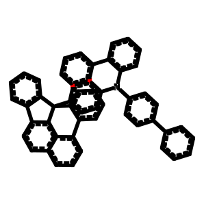 c1ccc(-c2ccc(N(c3ccc(C45c6ccccc6-c6ccc7cccc(c7c64)-c4ccccc45)cc3)c3ccccc3-c3ccccc3)cc2)cc1